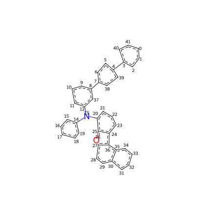 c1ccc(-c2ccc(-c3cccc(N(c4ccccc4)c4cccc5c4oc4ccc6ccccc6c45)c3)cc2)cc1